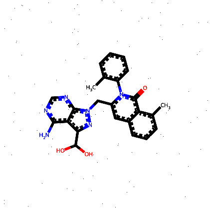 Cc1ccccc1-n1c(Cn2nc(C(O)O)c3c(N)ncnc32)cc2cccc(C)c2c1=O